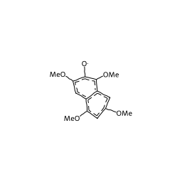 COc1cc(OC)c2cc(OC)c([O])c(OC)c2c1